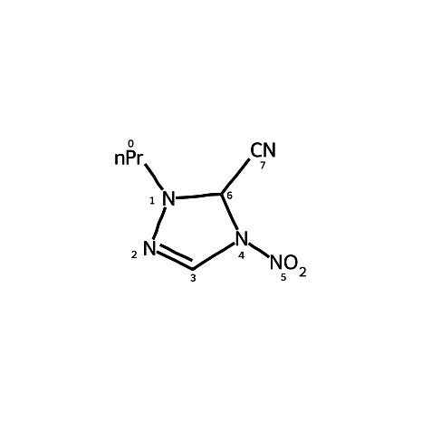 CCCN1N=CN([N+](=O)[O-])C1C#N